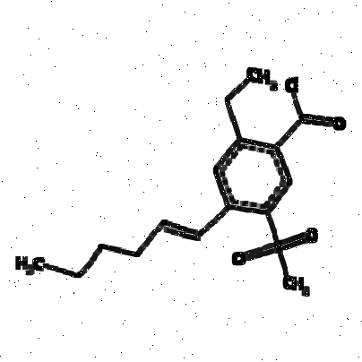 CCCCC=Cc1cc(CC)c(C(=O)Cl)cc1S(C)(=O)=O